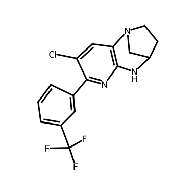 FC(F)(F)c1cccc(-c2nc3c(cc2Cl)N2CCC(C2)N3)c1